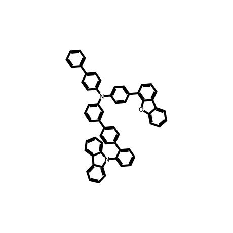 c1ccc(-c2ccc(N(c3ccc(-c4cccc5c4oc4ccccc45)cc3)c3cccc(-c4ccc(-c5ccccc5-n5c6ccccc6c6ccccc65)cc4)c3)cc2)cc1